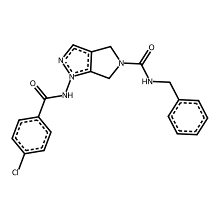 O=C(Nn1ncc2c1CN(C(=O)NCc1ccccc1)C2)c1ccc(Cl)cc1